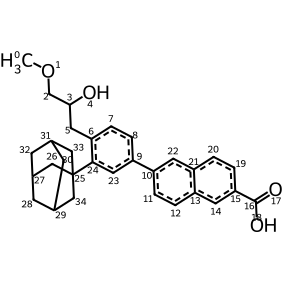 COCC(O)Cc1ccc(-c2ccc3cc(C(=O)O)ccc3c2)cc1C12CC3CC(CC(C3)C1)C2